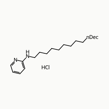 CCCCCCCCCCCCCCCCCCCNc1ccccn1.Cl